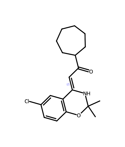 CC1(C)N/C(=C\C(=O)C2CCCCCC2)c2cc(Cl)ccc2O1